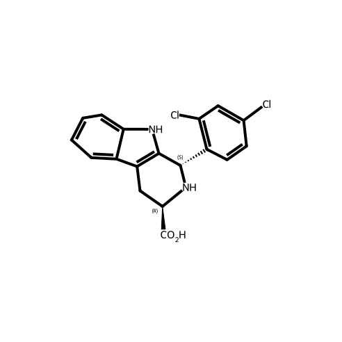 O=C(O)[C@H]1Cc2c([nH]c3ccccc23)[C@H](c2ccc(Cl)cc2Cl)N1